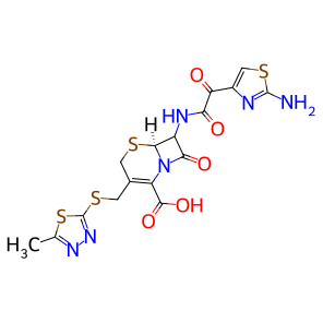 Cc1nnc(SCC2=C(C(=O)O)N3C(=O)C(NC(=O)C(=O)c4csc(N)n4)[C@@H]3SC2)s1